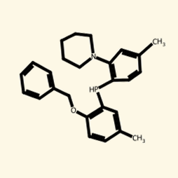 Cc1ccc(OCc2ccccc2)c(Pc2ccc(C)cc2N2CCCCC2)c1